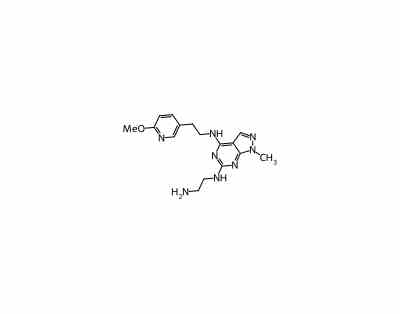 COc1ccc(CCNc2nc(NCCN)nc3c2cnn3C)cn1